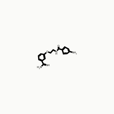 N=C(N)c1cccc(OCCNC(=O)c2ccc(N)cc2)c1